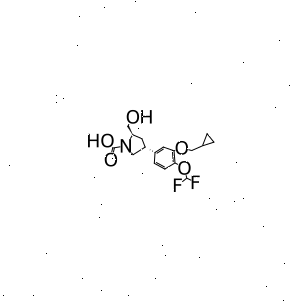 O=C(O)N1C[C@@H](c2ccc(OC(F)F)c(OCC3CC3)c2)C[C@@H]1CO